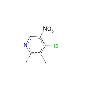 Cc1ncc([N+](=O)[O-])c(Cl)c1C